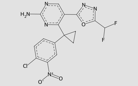 Nc1ncc(-c2nnc(C(F)F)o2)c(C2(c3ccc(Cl)c([N+](=O)[O-])c3)CC2)n1